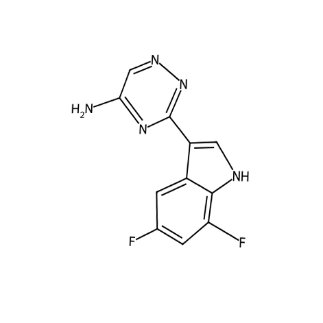 Nc1cnnc(-c2c[nH]c3c(F)cc(F)cc23)n1